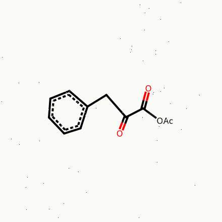 CC(=O)OC(=O)C(=O)Cc1ccccc1